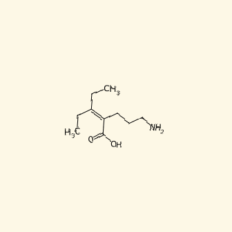 CCC(CC)=C(CCCN)C(=O)O